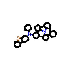 c1ccc(-c2cccc3c4ccccc4n(-c4ccccc4-c4ccc(N(c5ccccc5)c5ccc6c(c5)sc5ccccc56)cc4)c23)cc1